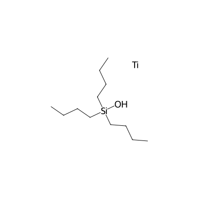 CCCC[Si](O)(CCCC)CCCC.[Ti]